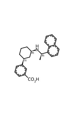 C[C@@H](N[C@@H]1CCC[C@H](c2cccc(C(=O)O)c2)C1)c1cccc2ccccc12